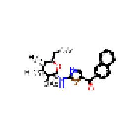 CC(=O)OCC1O[C@H](Nc2ncc(C(=O)c3ccc4ccccc4c3)s2)C(OC(C)=O)[C@@H](C)[C@@H]1C